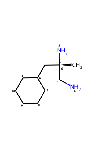 C[C@@](N)(CN)CC1CCCCC1